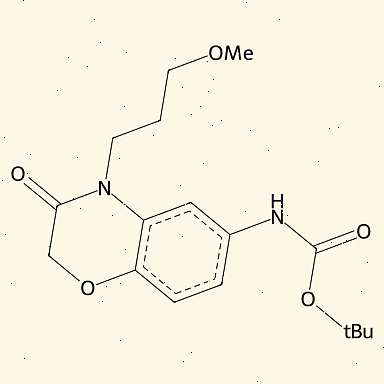 COCCCN1C(=O)COc2ccc(NC(=O)OC(C)(C)C)cc21